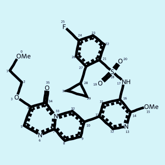 COCCOc1cnc2ccc(-c3cnc(OC)c(NS(=O)(=O)c4ccc(F)cc4C4CC4)c3)cn2c1=O